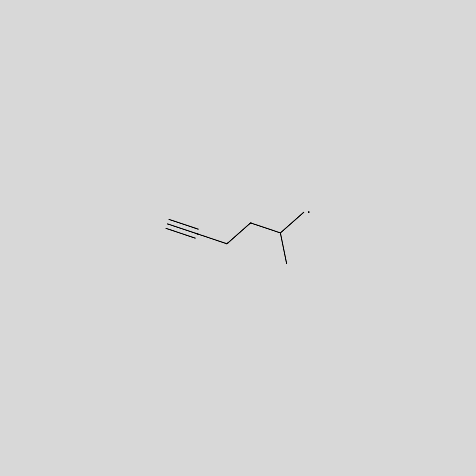 C#CCCC([CH2])C